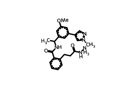 COc1cc(-c2cnn(C)c2)cc(C(C)NC(=O)c2ccccc2CCC(=O)NN)c1